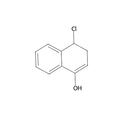 OC1=CCC(Cl)c2ccccc21